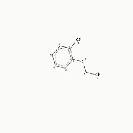 N#CCOc1c[c]ccc1C#N